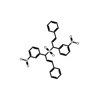 O=[N+]([O-])c1cccc(C(C=Cc2ccccc2)S(=O)(=O)C(C=Cc2ccccc2)c2cccc([N+](=O)[O-])c2)c1